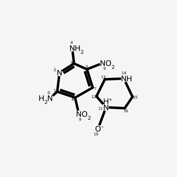 Nc1nc(N)c([N+](=O)[O-])cc1[N+](=O)[O-].[O-][NH+]1CCNCC1